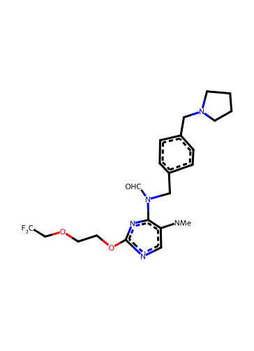 CNc1cnc(OCCOCC(F)(F)F)nc1N(C=O)Cc1ccc(CN2CCCC2)cc1